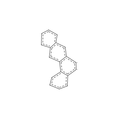 [c]1[c]c2cc3ccccc3cc2c2ccccc12